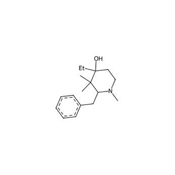 CCC1(O)CCN(C)C(Cc2ccccc2)C1(C)C